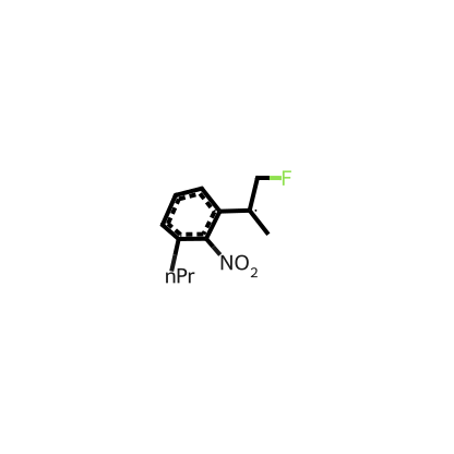 CCCc1cccc([C](C)CF)c1[N+](=O)[O-]